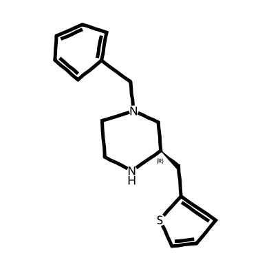 c1ccc(CN2CCN[C@H](Cc3cccs3)C2)cc1